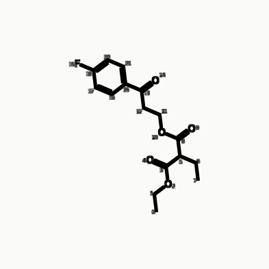 CCOC(=O)C(CC)C(=O)OCCC(=O)c1ccc(F)cc1